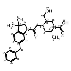 C[C@@H]1CN(CC(=O)N2CC(C)(C)c3ccc(Cc4ccccc4)cc32)[C@@H](CO)CN1C(=O)O